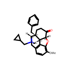 COc1ccc2c3c1O[C@H]1C(=O)CC[C@@]4(Cc5ccccc5)[C@@H](C2)N(CC2CC2)CC[C@]314